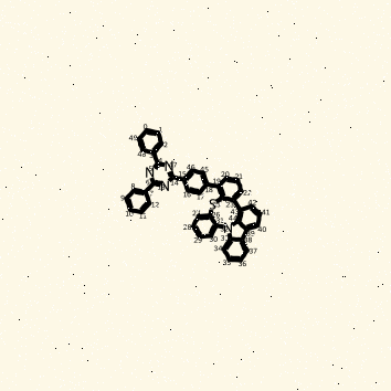 c1ccc(-c2nc(-c3ccccc3)nc(-c3ccc(-c4cccc5c4sc4ccccc4n4c6ccccc6c6cccc5c64)cc3)n2)cc1